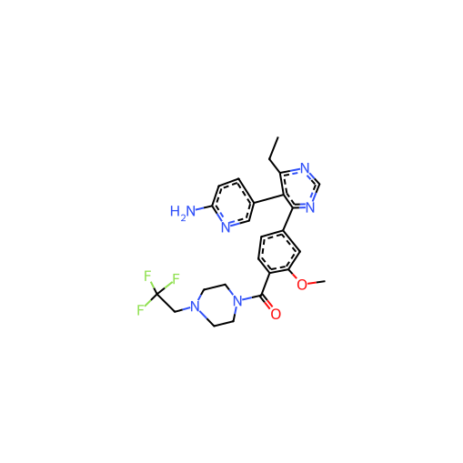 CCc1ncnc(-c2ccc(C(=O)N3CCN(CC(F)(F)F)CC3)c(OC)c2)c1-c1ccc(N)nc1